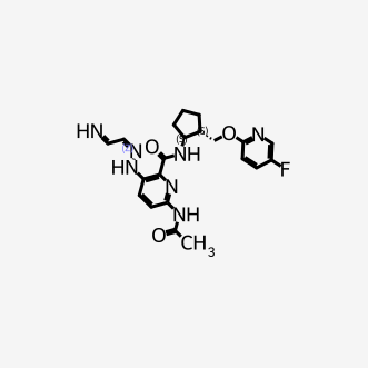 CC(=O)Nc1ccc(N/N=C\C=N)c(C(=O)N[C@H]2CCC[C@@H]2COc2ccc(F)cn2)n1